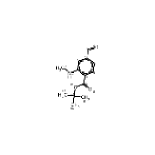 CNc1cc(C=O)ccc1C(=O)OC(C)(C)C